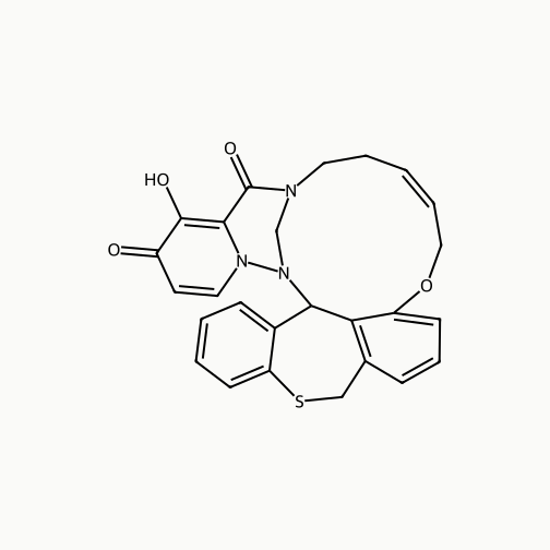 O=C1c2c(O)c(=O)ccn2N2CN1CCC=CCOc1cccc3c1C2c1ccccc1SC3